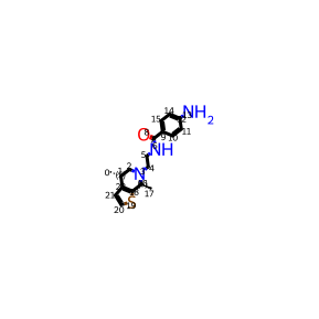 C[C@@H]1CN(CCNC(=O)c2ccc(N)cc2)[C@@H](C)c2sccc21